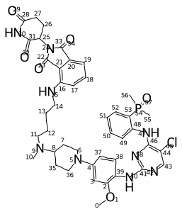 COc1cc(N2CCC(N(C)CCCCNc3cccc4c3C(=O)N(C3CCC(=O)NC3=O)C4=O)CC2)ccc1Nc1ncc(Cl)c(Nc2ccccc2P(C)(C)=O)n1